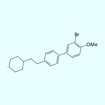 COc1ccc(-c2ccc(CCC3CC[CH]CC3)cc2)cc1Br